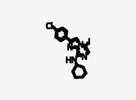 Clc1ccc(-c2cn3c(I)cnc(NC4CCCCC4)c3n2)cc1